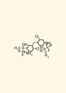 CC(O)(c1cc(Cc2cc(C(C)(O)C(F)(F)F)c(N)cc2Cl)c(Cl)cc1N)C(F)(F)F